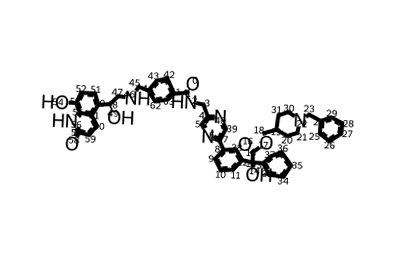 O=C(NCc1cnc(-c2cccc(C(O)(C(=O)OCC3CCN(Cc4ccccc4)CC3)c3ccccc3)c2)cn1)c1ccc(CNC[C@H](O)c2ccc(O)c3[nH]c(=O)ccc23)cc1